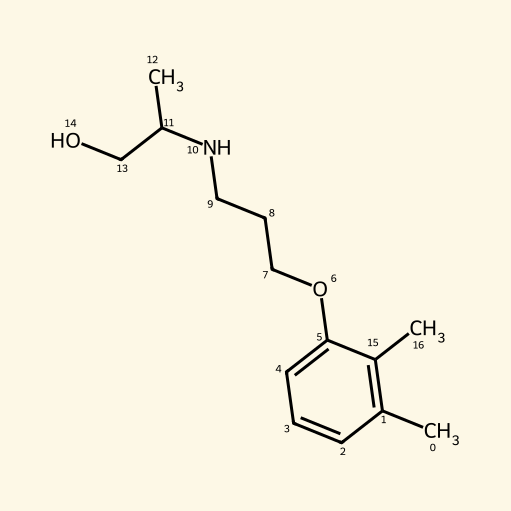 Cc1cccc(OCCCNC(C)CO)c1C